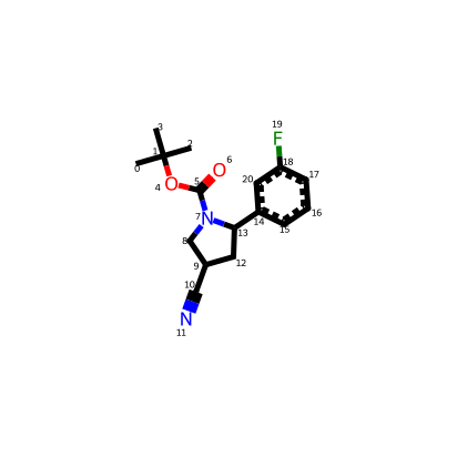 CC(C)(C)OC(=O)N1CC(C#N)CC1c1cccc(F)c1